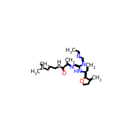 C=C/C(NC(=C\N=C(/C)C(=O)BCCCB(C)C)/N=C\N=C\C)=C1/OCCC1=C